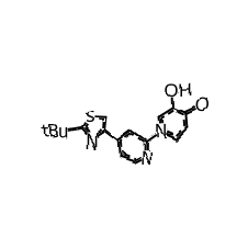 CC(C)(C)c1nc(-c2ccnc(-n3ccc(=O)c(O)c3)c2)cs1